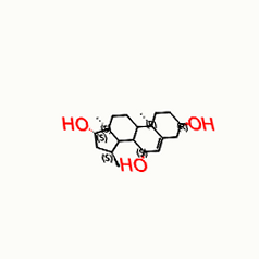 C[C@H]1C[C@H](O)[C@@]2(C)CCC3C(C12)[C@H](O)C=C1C[C@H](O)CC[C@@]13C